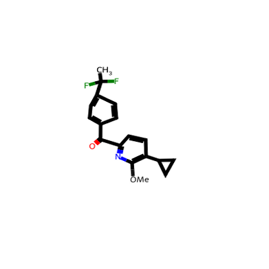 COc1nc(C(=O)c2ccc(C(C)(F)F)cc2)ccc1C1CC1